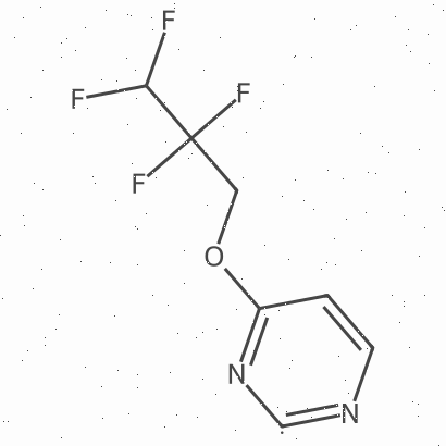 FC(F)C(F)(F)COc1ccn[c]n1